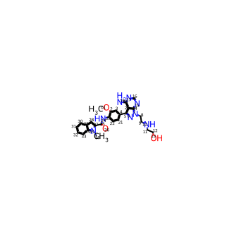 COc1cc(-c2nn(CCNCCO)c3ncnc(N)c23)ccc1NC(=O)c1cc2ccccc2n1C